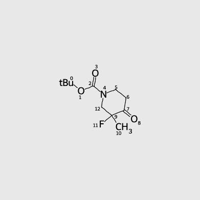 CC(C)(C)OC(=O)N1CCC(=O)C(C)(F)C1